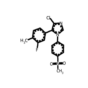 Cc1ccc(-c2c(Cl)ncn2-c2ccc(S(C)(=O)=O)cc2)cc1F